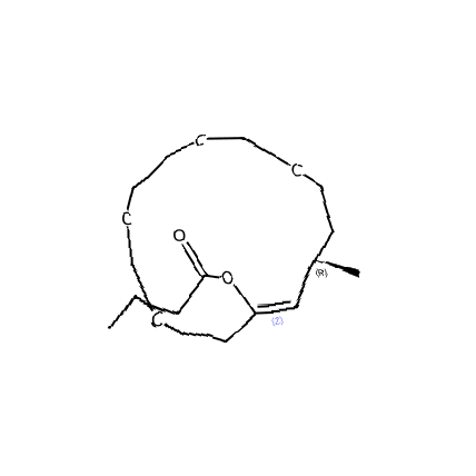 CCCC(=O)O/C1=C\[C@H](C)CCCCCCCCCCCC1